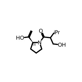 C=C(O)[C@@H]1CCCN1C(=O)C(CO)C(C)C